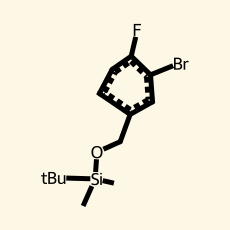 CC(C)(C)[Si](C)(C)OCc1ccc(F)c(Br)c1